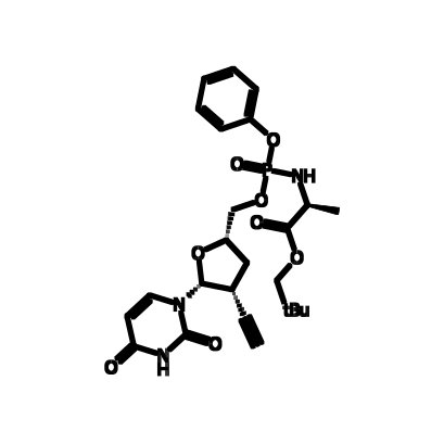 C#C[C@H]1C[C@@H](COP(=O)(N[C@@H](C)C(=O)OCC(C)(C)C)Oc2ccccc2)O[C@H]1n1ccc(=O)[nH]c1=O